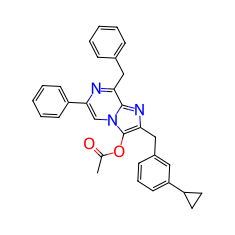 CC(=O)Oc1c(Cc2cccc(C3CC3)c2)nc2c(Cc3ccccc3)nc(-c3ccccc3)cn12